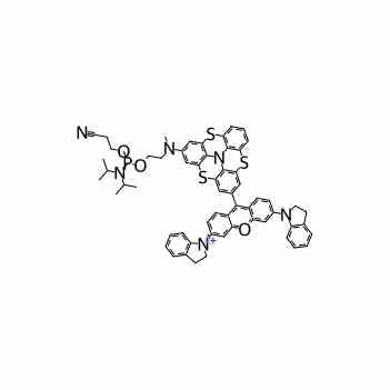 CC(C)N(C(C)C)P(OCCC#N)OCCN(C)c1cc2c3c(c1)Sc1cc(-c4c5cc/c(=[N+]6/CCc7ccccc76)cc-5oc5cc(N6CCc7ccccc76)ccc45)cc4c1N3c1c(cccc1S2)S4